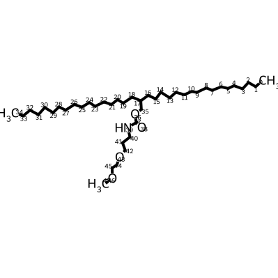 CCCCCCCCCCCCCCCCCC(CCCCCCCCCCCCCCCCC)COC(=O)NCCCOCCOC